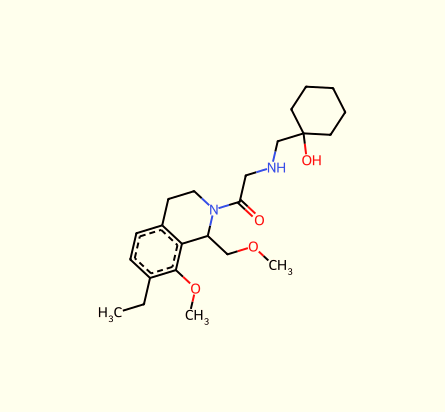 CCc1ccc2c(c1OC)C(COC)N(C(=O)CNCC1(O)CCCCC1)CC2